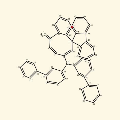 C=C1/C=C\C(N(c2cccc(-c3ccccc3)c2)c2cccc(-c3ccccc3)c2)=C/C2(c3ccccc31)c1ccccc1-c1ccccc12